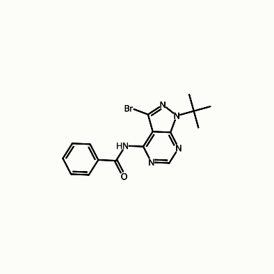 CC(C)(C)n1nc(Br)c2c(NC(=O)c3ccccc3)ncnc21